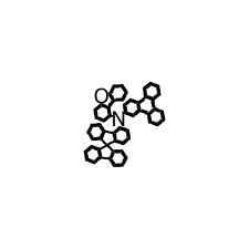 c1ccc2c(c1)-c1ccccc1C21c2ccccc2-c2c(N(c3ccc4c5ccccc5c5ccccc5c4c3)c3cccc4oc5ccccc5c34)cccc21